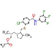 CC(=O)OCC(C)CC1CCC(C)C1CSc1cc(C(=O)Nc2cc(F)c(F)c(F)c2)ccc1Cl